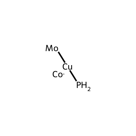 [Co].[PH2][Cu][Mo]